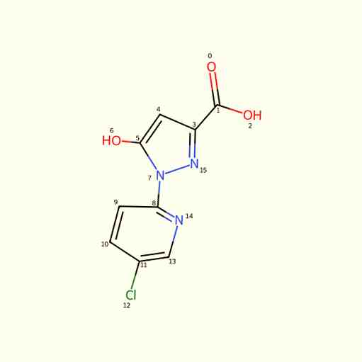 O=C(O)c1cc(O)n(-c2ccc(Cl)cn2)n1